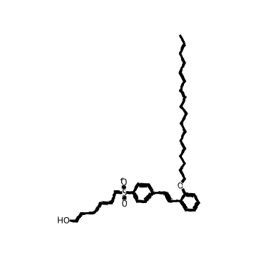 CCCCCCCCCCCCCCCCCCOc1ccccc1C=Cc1ccc(S(=O)(=O)CCCCCCO)cc1